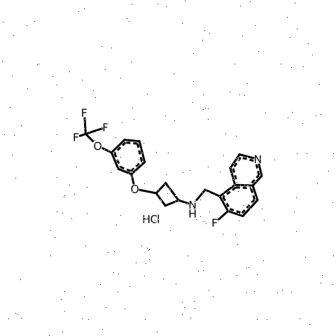 Cl.Fc1ccc2cnccc2c1CNC1CC(Oc2cccc(OC(F)(F)F)c2)C1